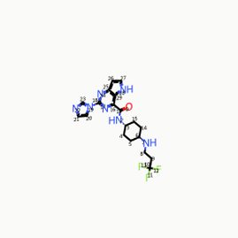 O=C(N[C@H]1CC[C@H](NCCC(F)(F)F)CC1)c1nc(-n2ccnc2)nc2cc[nH]c12